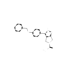 CC(=O)N1Cc2n[nH]c(-c3ccc(OCc4ccccc4)cc3)c2C1